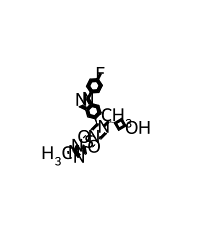 Cc1cc2c(cnn2-c2ccc(F)cc2)cc1[C@@H]1CN(S(=O)(=O)c2cnn(C)n2)CCN1C[C@H]1C[C@@H](O)C1